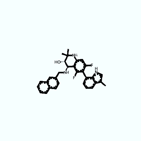 Cc1c[nH]c2c(-c3c(F)cc4c(c3F)[C@@H](NCc3ccc5ccccc5c3)[C@H](O)C(C)(C)N4)cccc12